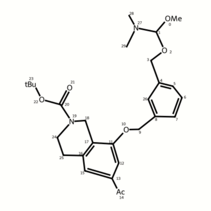 COC(OCc1cccc(COc2cc(C(C)=O)cc3c2CN(C(=O)OC(C)(C)C)CC3)c1)N(C)C